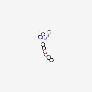 CC/C(=C\C=C1\C=CC=CC1)N(c1ccc2cc(C=C3C(=O)c4cc5ccccc5cc4C3=O)ccc2c1)c1cccc2c(F)cccc12